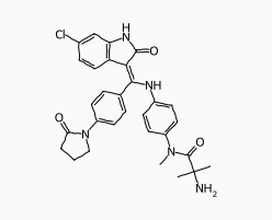 CN(C(=O)C(C)(C)N)c1ccc(N/C(=C2\C(=O)Nc3cc(Cl)ccc32)c2ccc(N3CCCC3=O)cc2)cc1